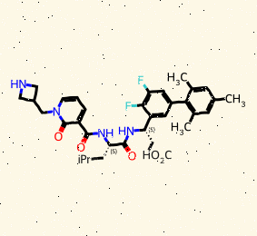 Cc1cc(C)c(-c2cc(F)c(F)c([C@H](CC(=O)O)NC(=O)[C@H](CC(C)C)NC(=O)c3cccn(CC4CNC4)c3=O)c2)c(C)c1